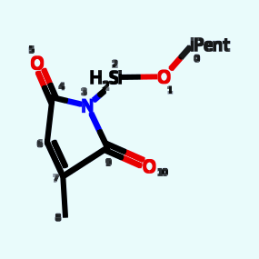 CCCC(C)O[SiH2]N1C(=O)C=C(C)C1=O